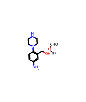 CC(C)(C)OC=O.Nc1ccc(N2CCNCC2)c(CO)c1